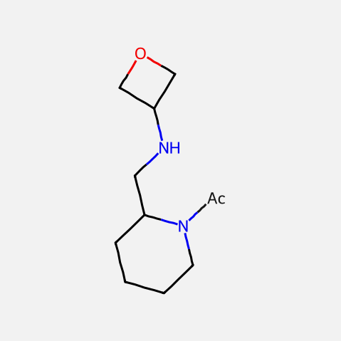 CC(=O)N1CCCCC1CNC1COC1